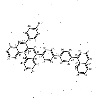 Fc1ccc(-c2nc3ccccc3c3c2cc(-c2ccc(-c4ccc(-c5cccc6cccnc56)cc4)cc2)c2ccccc23)cc1